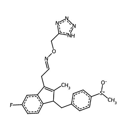 CC1=C(CC=NOCc2nnn[nH]2)c2cc(F)ccc2C1Cc1ccc([S+](C)[O-])cc1